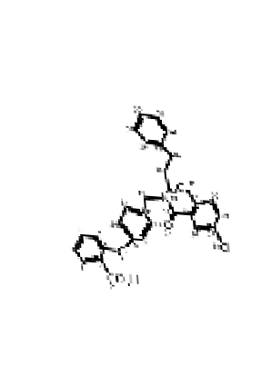 O=C(O)c1ccccc1Oc1ccc(CN(CCCc2ccccc2)C(=O)c2cc(Cl)ccc2Cl)cc1